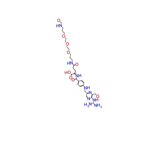 NC(N)Nc1ncc(CNc2ccc(C(=O)N[C@H](CCC(=O)NCCCOCCOCCOCCCNC=O)C(=O)O)cc2)nc1C=O